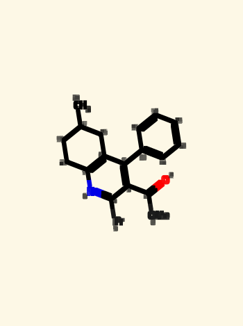 COC(=O)c1c(C(C)C)nc2c(c1-c1ccccc1)CC(C)CC2